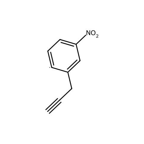 C#CCc1[c]ccc([N+](=O)[O-])c1